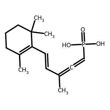 CC(=C=CP(=O)(O)O)C=CC1=C(C)CCCC1(C)C